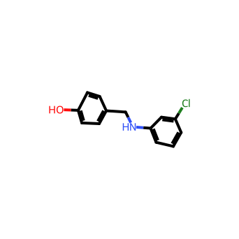 Oc1ccc(CNc2cccc(Cl)c2)cc1